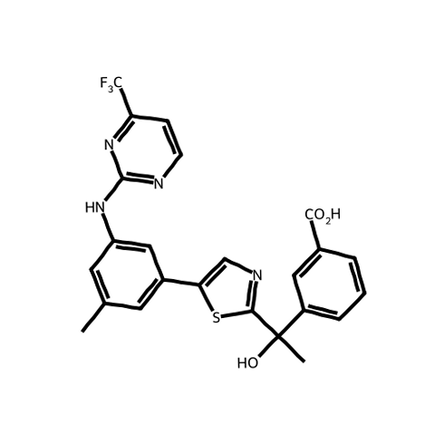 Cc1cc(Nc2nccc(C(F)(F)F)n2)cc(-c2cnc(C(C)(O)c3cccc(C(=O)O)c3)s2)c1